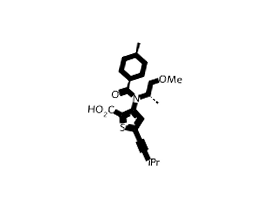 COC[C@H](C)N(c1cc(C#CC(C)C)sc1C(=O)O)C(=O)[C@H]1CC[C@@H](C)CC1